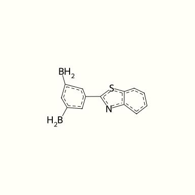 Bc1cc(B)cc(-c2nc3ccccc3s2)c1